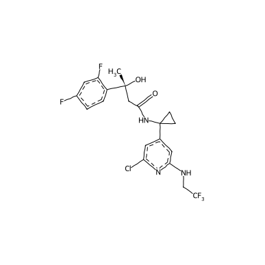 C[C@@](O)(CC(=O)NC1(c2cc(Cl)nc(NCC(F)(F)F)c2)CC1)c1ccc(F)cc1F